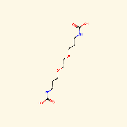 O=C(O)NCCCOCCOCCCNC(=O)O